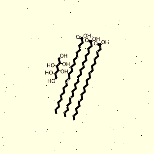 CCCCCCCCCCCCCCCCCCCCCC(=O)O.CCCCCCCCCCCCCCCCCCCCCC(=O)O.CCCCCCCCCCCCCCCCCCCCCC(=O)O.OC[C@@H](O)[C@@H](O)[C@H](O)[C@@H](O)CO